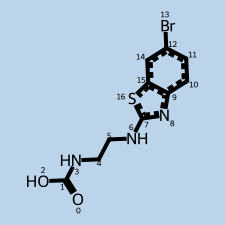 O=C(O)NCCNc1nc2ccc(Br)cc2s1